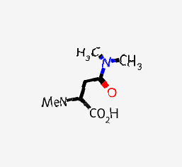 CNC(CC(=O)N(C)C)C(=O)O